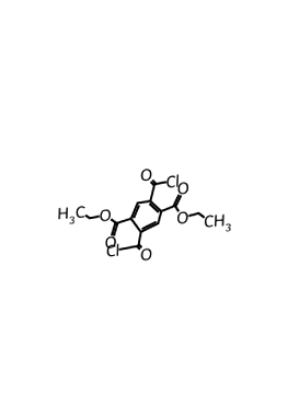 CCOC(=O)c1cc(C(=O)Cl)c(C(=O)OCC)cc1C(=O)Cl